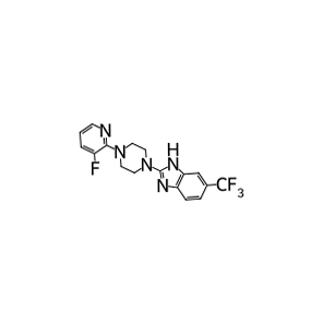 Fc1cccnc1N1CCN(c2nc3ccc(C(F)(F)F)cc3[nH]2)CC1